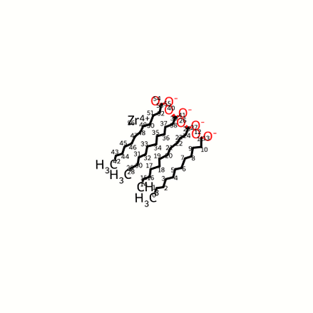 CCCCCCCCCCCC(=O)[O-].CCCCCCCCCCCC(=O)[O-].CCCCCCCCCCCC(=O)[O-].CCCCCCCCCCCC(=O)[O-].[Zr+4]